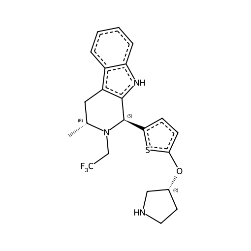 C[C@@H]1Cc2c([nH]c3ccccc23)[C@@H](c2ccc(O[C@@H]3CCNC3)s2)N1CC(F)(F)F